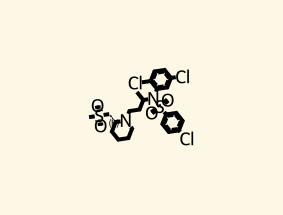 CC(CCN1CCCC[C@@H]1CS(C)(=O)=O)N(c1cc(Cl)ccc1Cl)S(=O)(=O)c1ccc(Cl)cc1